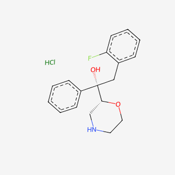 Cl.O[C@@](Cc1ccccc1F)(c1ccccc1)[C@H]1CNCCO1